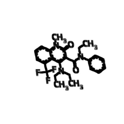 CCN(CC)c1c(C(=O)N(CC)c2ccccc2)c(=O)n(C)c2cccc(C(F)(F)F)c12